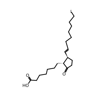 O=C(O)CCCCCC[C@H]1C(=O)CC[C@@H]1C=CCCCCCCI